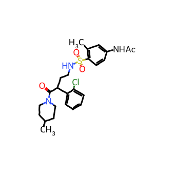 CC(=O)Nc1ccc(S(=O)(=O)NCCC(C(=O)N2CCC(C)CC2)c2ccccc2Cl)c(C)c1